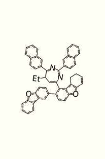 CCC1C=C(c2c(-c3ccc4oc5ccccc5c4c3)ccc3oc4c(c23)CCC=C4)N=C(c2ccc3ccccc3c2)N=C1c1ccc2ccccc2c1